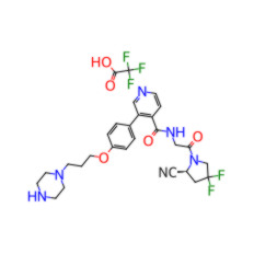 N#C[C@@H]1CC(F)(F)CN1C(=O)CNC(=O)c1ccncc1-c1ccc(OCCCN2CCNCC2)cc1.O=C(O)C(F)(F)F